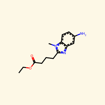 CCOC(=O)CCCc1nc2cc(N)ccc2n1C